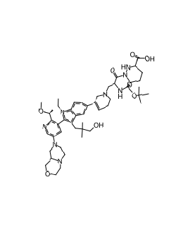 CCn1c(-c2cc(N3CCN4CCOCC4C3)cnc2[C@H](C)OC)c(CC(C)(C)CO)c2cc(C3=CCCN(CC(NC(=O)OC(C)(C)C)C(=O)N4CCCC(C(=O)O)N4)C3)ccc21